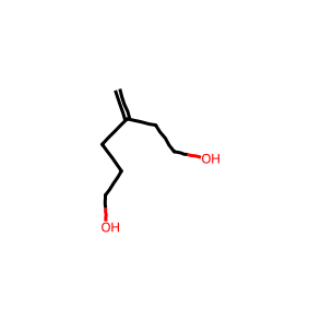 C=C(CCO)CCCO